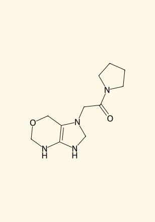 O=C(CN1CNC2=C1COCN2)N1CCCC1